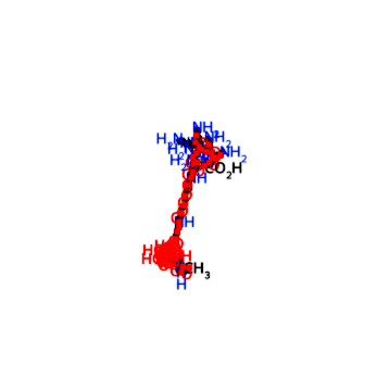 Cc1cn([C@H]2CC(O)[C@@H](COP(=O)(O)OP(=O)(O)OP(=O)(O)OP(=O)(O)OP(=O)(O)OP(=O)(O)OCCCCCCNC(=O)CCOCCOCCOCCOCCNC(=O)CCN3C(=O)CC(SC[C@H](NC(=O)[C@H](CCCCN)NC(=O)[C@H](CCCCN)NC(=O)[C@H](CCCCN)NC(=O)C(CCCCN)NC(=O)[C@@H](N)CCCCN)C(=O)O)C3=O)O2)c(=O)[nH]c1=O